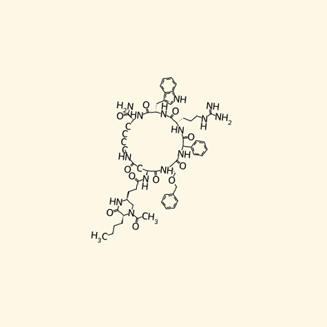 CCCC[C@H]1C(=O)N[C@@H](CCC(=O)N[C@H]2CC(=O)NCCCC[C@@H](C(N)=O)NC(=O)[C@H](Cc3c[nH]c4ccccc34)NC(=O)[C@H](CCCNC(=N)N)NC(=O)C(c3ccccc3)NC(=O)[C@H](COCc3ccccc3)NC2=O)CN1C(C)=O